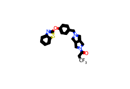 O=C(CC(F)(F)F)N1CC2=CN(Cc3ccc(Oc4nc5ccccc5s4)cc3)CC2C1